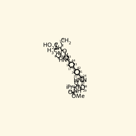 C=CC[C@@H](C(=O)N1CCC[C@H]1c1ncc(-c2ccc(-c3ccc(-c4cnc([C@@H]5CCCN5C(=O)[C@@H](NC(=O)OC)C(C)C)[nH]4)cc3)cc2)[nH]1)N(C)C(=O)O